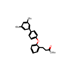 COC(=O)CCc1ccccc1Oc1ccc(-c2cc(C(C)(C)C)cc(C(C)(C)C)c2)cc1